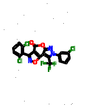 O=c1oc2nn(-c3cccc(Cl)c3)c(C(F)(F)F)c2c2onc(-c3c(Cl)cccc3Cl)c12